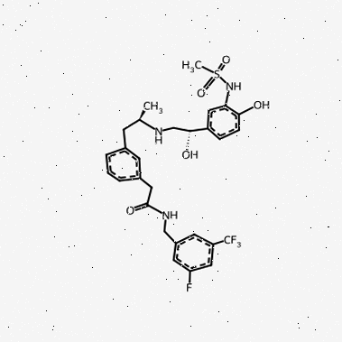 C[C@H](Cc1cccc(CC(=O)NCc2cc(F)cc(C(F)(F)F)c2)c1)NC[C@@H](O)c1ccc(O)c(NS(C)(=O)=O)c1